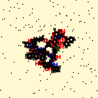 Cc1cc2ccc1Oc1cc3cc(c1O[C@@H]1O[C@H](CO)[C@@H](O)[C@H](O)[C@H]1O[C@H]1C[C@](C)(NC(=O)OCC4c5ccccc5-c5ccccc54)[C@H](O)[C@H](C)O1)Oc1ccc(cc1Cl)[C@@H](O)[C@@H]1NC(=O)[C@H](NC(=O)[C@@H]3NC(=O)[C@H](CC(N)=O)NC(=O)[C@H](NC(=O)[C@@H](CC(C)C)N(C)C(=O)OCC3c4ccccc4-c4ccccc43)[C@@H]2O)c2ccc(O)c(c2)-c2c(O)cc(O)cc2[C@@H](C(=O)NC2C3CC4CC(C3)CC2C4)NC1=O